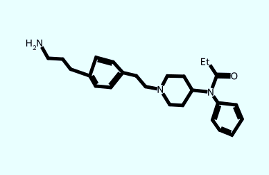 CCC(=O)N(c1ccccc1)C1CCN(CCc2ccc(CCCN)cc2)CC1